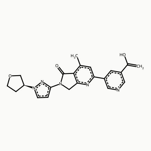 C=C(O)c1cncc(-c2cc(C)c3c(n2)CN(c2ccn([C@H]4CCOC4)n2)C3=O)c1